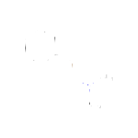 CN(C)CSC1CCCCC1